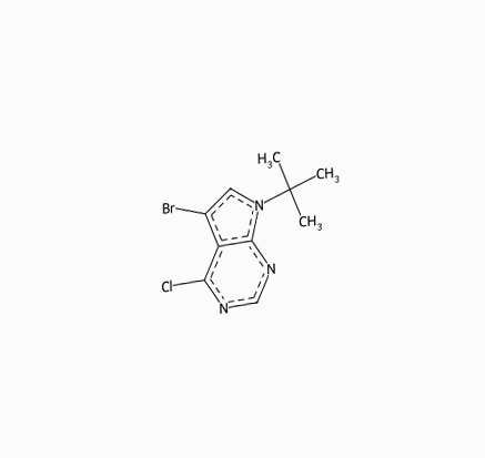 CC(C)(C)n1cc(Br)c2c(Cl)ncnc21